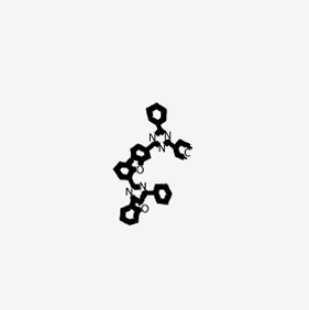 c1ccc(-c2nc(-c3ccccc3)nc(-c3ccc4c(c3)oc3c(-c5nc(-c6ccccc6)c6oc7ccccc7c6n5)cccc34)n2)cc1